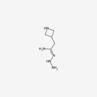 NN/N=C(\N)CC1CNC1